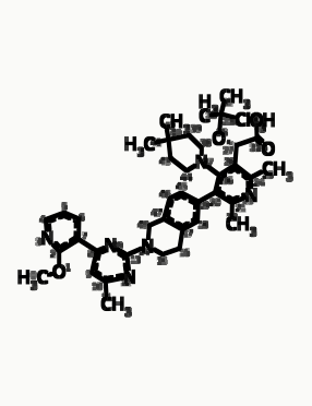 COc1ncccc1-c1cc(C)nc(N2CCc3cc(-c4c(C)nc(C)c([C@H](OC(C)(C)C)C(=O)O)c4N4CCC(C)(C)CC4)ccc3C2)n1